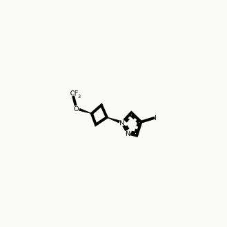 FC(F)(F)O[C@H]1C[C@@H](n2cc(I)cn2)C1